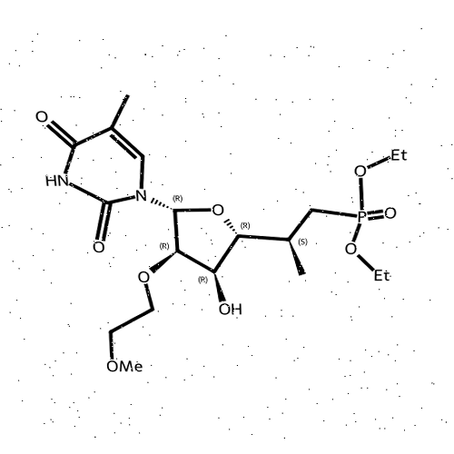 CCOP(=O)(C[C@@H](C)[C@H]1O[C@@H](n2cc(C)c(=O)[nH]c2=O)[C@H](OCCOC)[C@@H]1O)OCC